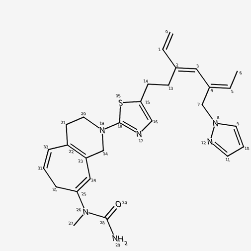 C=C/C(=C/C(=C\C)Cn1cccn1)CCc1cnc(N2CCC3=C(C=C(N(C)C(N)=O)CC=C3)C2)s1